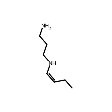 CC/C=C\NCCCN